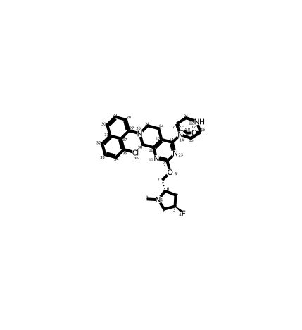 CN1C[C@H](F)C[C@H]1COc1nc2c(c(N3CC4CCCC3CN4)n1)CCN(c1cccc3cccc(Cl)c13)C2